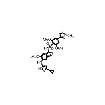 COc1cc2c(NS(=O)(=O)c3c(OC)cc(-c4cnn(C)n4)cc3OC)noc2cc1Nc1cc(C2CC2)n[nH]1